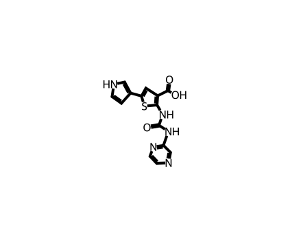 O=C(Nc1cnccn1)Nc1sc(-c2cc[nH]c2)cc1C(=O)O